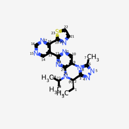 CC[C@@H]1c2nnc(C)n2-c2cnc(-c3cncnc3-c3nccs3)nc2N1C(C)C